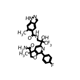 Cc1cc2[nH]ncc2cc1C(=O)NCC(O)(c1cc2c(c(-c3ccc(F)cc3)n1)OC[C@]2(C)C(N)=O)C(F)(F)F